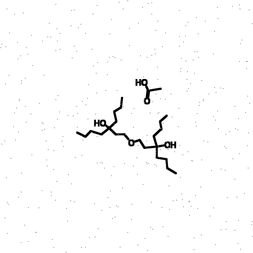 CC(=O)O.CCCCC(O)(CCCC)CCOCCC(O)(CCCC)CCCC